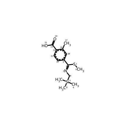 CSC(=NC[Si](C)(C)C)c1ccc(C(=O)O)c(C)c1